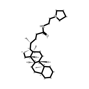 C[C@H](CCC(=O)NCCN1CCCC1)[C@H]1CC[C@H]2[C@@H]3CCC4CCCC[C@]4(C)[C@H]3CC[C@]12C